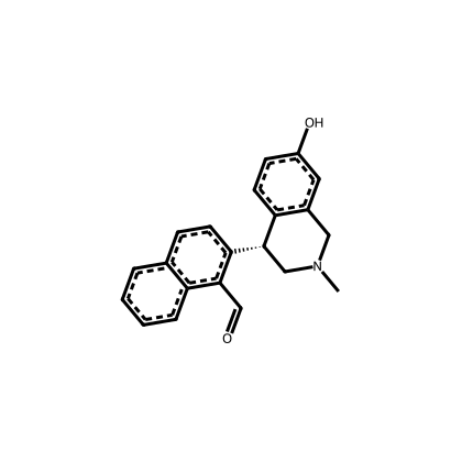 CN1Cc2cc(O)ccc2[C@@H](c2ccc3ccccc3c2C=O)C1